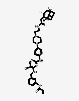 C=CC(=O)Nc1cccc(CNc2nc(Nc3ccc(N4CCN(CCNC(=O)CC5[C@H]6CC7C[C@@H](C[C@H]5C)C76)CC4)cc3)ncc2Cl)c1